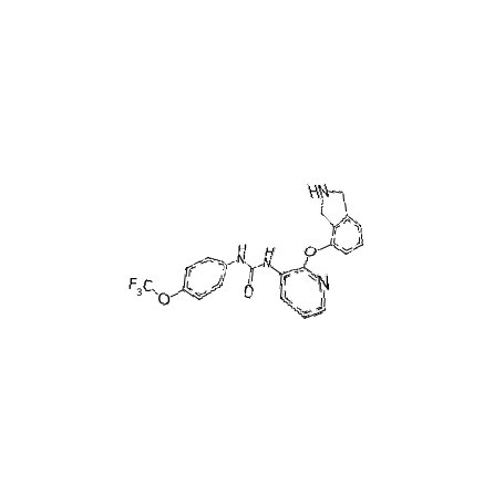 O=C(Nc1ccc(OC(F)(F)F)cc1)Nc1cccnc1Oc1cccc2c1CNC2